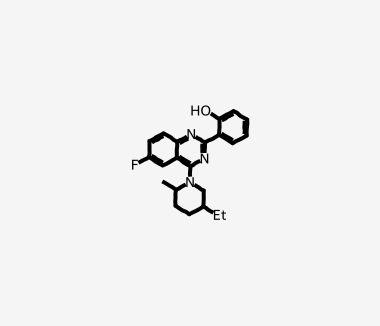 CCC1CCC(C)N(c2nc(-c3ccccc3O)nc3ccc(F)cc23)C1